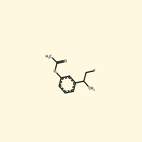 C[C](CF)c1cccc(OC(C)=O)c1